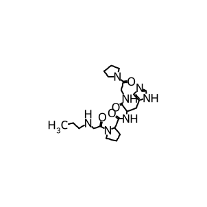 CCCNCC(=O)N1CCCC1C(=O)NC(Cc1cnc[nH]1)C(=O)NCC(=O)N1CCCC1